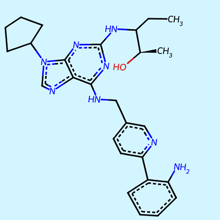 CCC(Nc1nc(NCc2ccc(-c3ccccc3N)nc2)c2ncn(C3CCCC3)c2n1)[C@@H](C)O